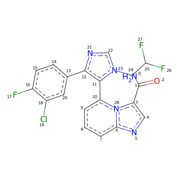 NC(=O)c1cnc2cccc(-c3c(-c4ccc(F)c(Cl)c4)ncn3CC(F)F)n12